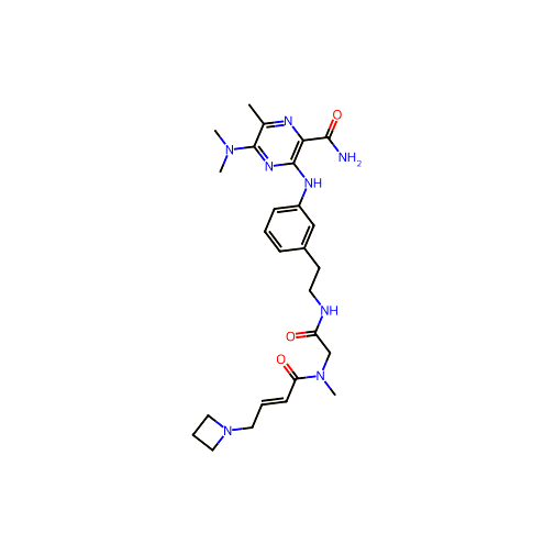 Cc1nc(C(N)=O)c(Nc2cccc(CCNC(=O)CN(C)C(=O)/C=C/CN3CCC3)c2)nc1N(C)C